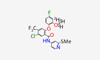 [2H]C([2H])([2H])Oc1cc(F)ccc1Oc1cc(C(F)(F)F)c(Cl)cc1C(=O)Nc1ccnc(SC)c1